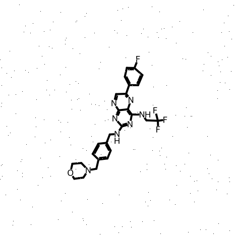 Fc1ccc(-c2cnc3nc(NCc4ccc(CN5CCOCC5)cc4)nc(NCC(F)(F)F)c3n2)cc1